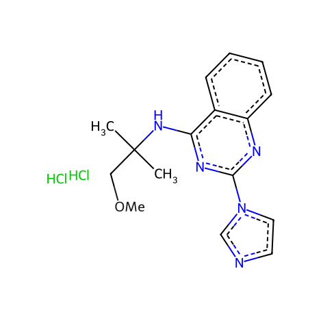 COCC(C)(C)Nc1nc(-n2ccnc2)nc2ccccc12.Cl.Cl